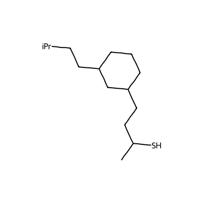 CC(C)CCC1CCCC(CCC(C)S)C1